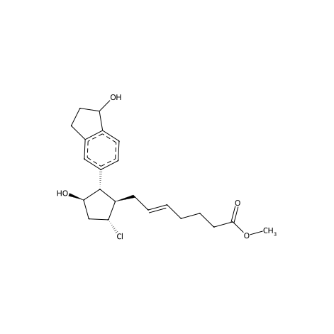 COC(=O)CCCC=CC[C@@H]1[C@@H](c2ccc3c(c2)CCC3O)[C@H](O)C[C@H]1Cl